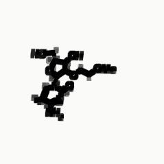 COCCOC1C(O)[C@@H](CO)O[C@H]1n1cc(C)c(N)nc1=O